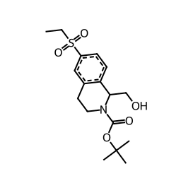 CCS(=O)(=O)c1ccc2c(c1)CCN(C(=O)OC(C)(C)C)C2CO